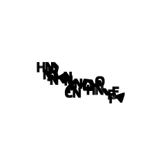 FC1(F)CC1.N#CCC1(n2cc(-c3ncnc4[nH]ccc34)cn2)CN(c2ccc(C(=O)NCCF)cc2)C1